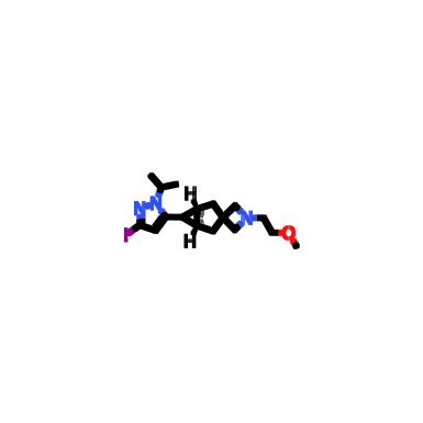 COCCN1CC2(C[C@@H]3C(c4cc(I)nn4C(C)C)[C@@H]3C2)C1